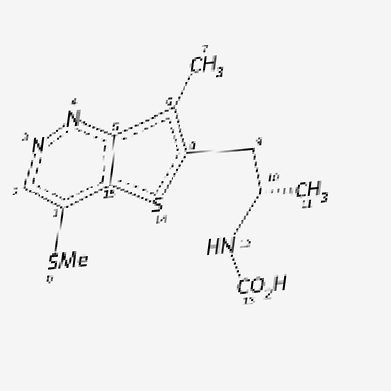 CSc1cnnc2c(C)c(C[C@H](C)NC(=O)O)sc12